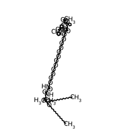 CCCCCCCCCCCCCCCCOCC(C[N+](C)(C)CCCNC(=O)CCC(=O)NCCOCCOCCOCCOCCOCCOCCOCCOCCOCCOCCOCCOCCC(=O)NCCC1(C(=O)N[C@@H](Cc2ccc(NC(=O)c3c(Cl)cccc3Cl)cc2)C(=O)OC)CCCC1)OCCCCCCCCCCCCCCCC